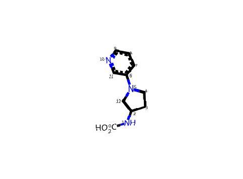 O=C(O)NC1CCN(c2cccnc2)C1